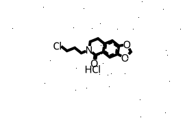 Cl.O=C1c2cc3c(cc2CCN1CCCCl)OCO3